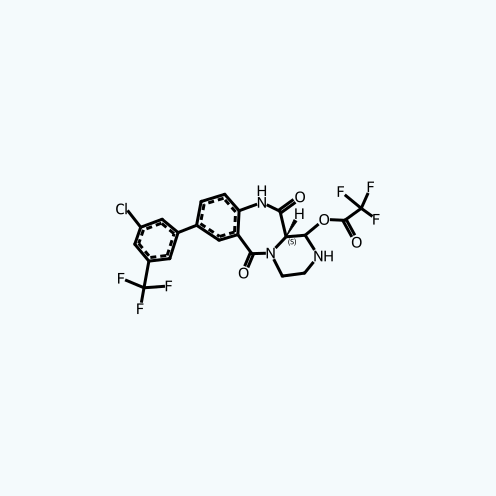 O=C1Nc2ccc(-c3cc(Cl)cc(C(F)(F)F)c3)cc2C(=O)N2CCNC(OC(=O)C(F)(F)F)[C@@H]12